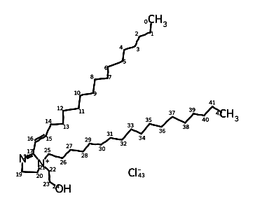 CCCCCCCCCCCCCCCC=CC1=NCC[N+]1(CCO)CCCCCCCCCCCCCCCCCC.[Cl-]